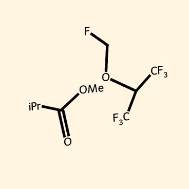 COC(=O)C(C)C.FCOC(C(F)(F)F)C(F)(F)F